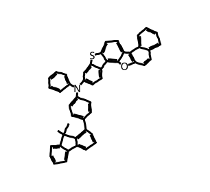 CC1(C)c2ccccc2-c2cccc(-c3ccc(N(c4ccccc4)c4ccc5c(c4)sc4ccc6c(oc7ccc8ccccc8c76)c45)cc3)c21